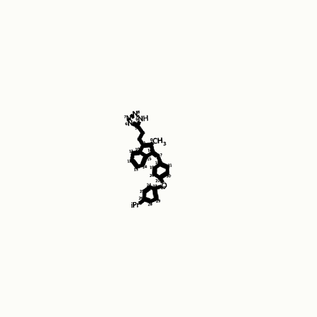 CC1=C(CCc2nnn[nH]2)c2ccccc2/C1=C\c1ccc(Oc2ccc(C(C)C)cc2)cc1